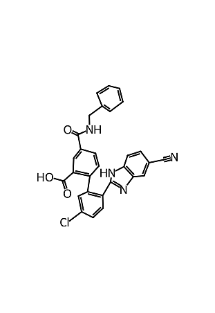 N#Cc1ccc2[nH]c(-c3ccc(Cl)cc3-c3ccc(C(=O)NCc4ccccc4)cc3C(=O)O)nc2c1